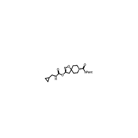 CCCCCC(=O)N1CCC2(CC1)CC(OC(=O)NCC1CC1)=NO2